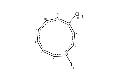 Cc1ccc(I)cccccn1